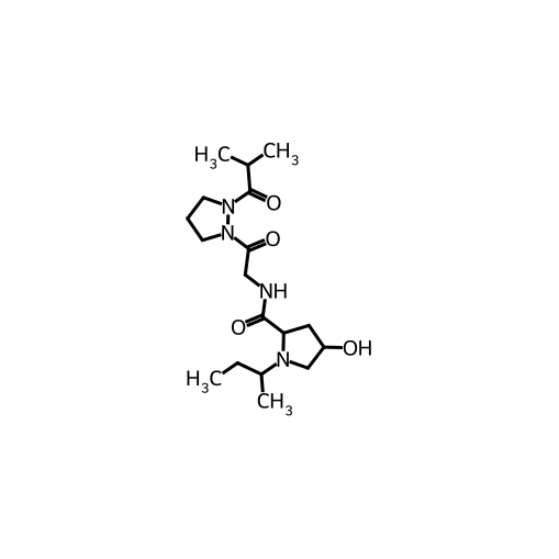 CCC(C)N1CC(O)CC1C(=O)NCC(=O)N1CCCN1C(=O)C(C)C